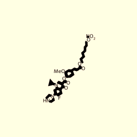 COc1cc(C=CC(=O)OCCCCCCCCO[N+](=O)[O-])ccc1OC(=O)c1cn(C2CC2)c2cc(N3CCNCC3)c(F)cc2c1=O